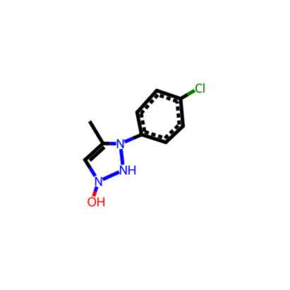 CC1=CN(O)NN1c1ccc(Cl)cc1